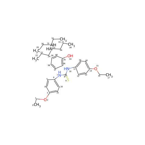 CCOc1ccc(NC(=S)Nc2ccc(OCC)cc2)cc1.CC[CH2][AlH][CH2]CC.C[CH2][AlH][CH2]C.Oc1ccccc1